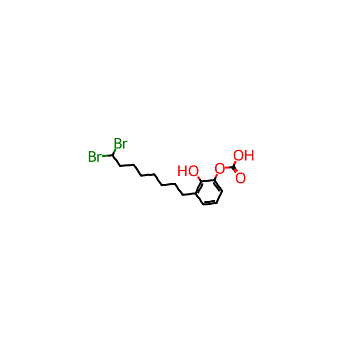 O=C(O)Oc1cccc(CCCCCCCC(Br)Br)c1O